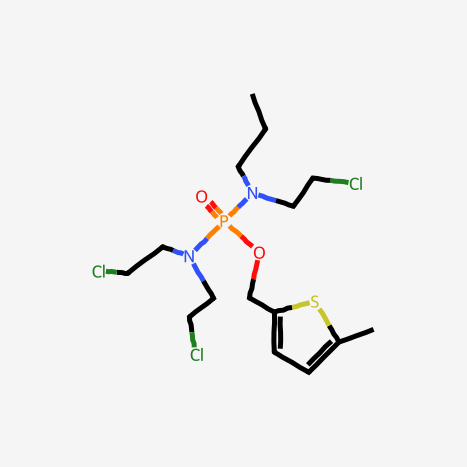 CCCN(CCCl)P(=O)(OCc1ccc(C)s1)N(CCCl)CCCl